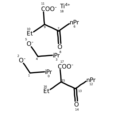 CC(C)C[O-].CC(C)C[O-].CCCC(=O)C(CC)C(=O)[O-].CCCC(=O)C(CC)C(=O)[O-].[Ti+4]